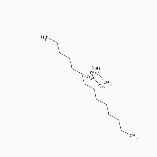 CC=O.CCCCCCCCCCCCCC.O=S(=O)(O)O.[NaH]